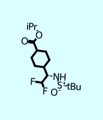 CC(C)OC(=O)C1CCC([C@H](N[S@@+]([O-])C(C)(C)C)C(F)F)CC1